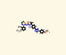 Cc1cccc(N2CCCS/C2=N\C(=O)NC2(c3ccc(-c4ncn(-c5ccc(OC(F)(F)F)cc5)n4)cc3)CC2)c1C(C)C